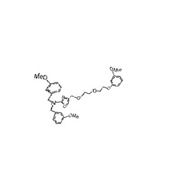 COc1cccc(CN(Cc2cccc(OC)c2)c2nc(COCCOCCOc3cccc(OC)c3)co2)c1